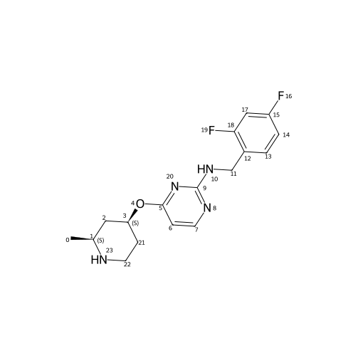 C[C@H]1C[C@@H](Oc2ccnc(NCc3ccc(F)cc3F)n2)CCN1